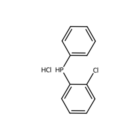 Cl.Clc1ccccc1Pc1ccccc1